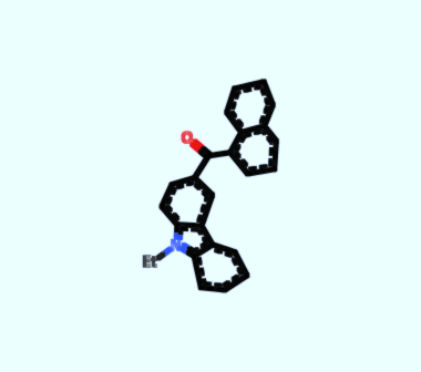 CCn1c2ccccc2c2cc(C(=O)c3cccc4ccccc34)ccc21